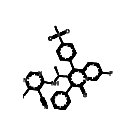 C[C@H](Nc1ncnc(I)c1C#N)c1c(-c2ccccc2)c(=O)n2cc(F)ccc2c1-c1ccc(S(C)(=O)=O)cc1